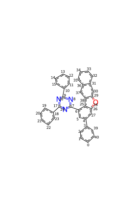 c1ccc(-c2cc(-c3nc(-c4ccccc4)nc(-c4ccccc4)n3)c3c(c2)oc2cc4ccccc4cc23)cc1